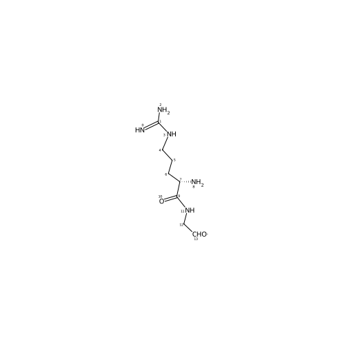 N=C(N)NCCC[C@H](N)C(=O)NC[C]=O